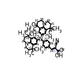 CC1(C)CCN2CCC(C)(C)c3cc(N(c4ccc(/C=C(\C#N)C(=O)O)cc4)c4cc5c6c(c4)C(C)(C)CCN6CCC5(C)C)cc1c32